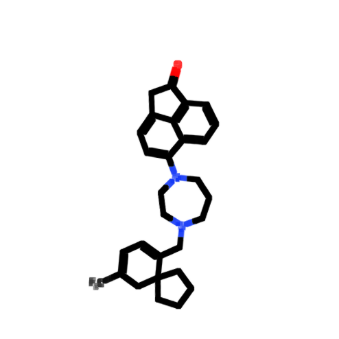 O=C1Cc2ccc(N3CCCN(CC4=CC=C(C(F)(F)F)CC45CCCC5)CC3)c3cccc1c23